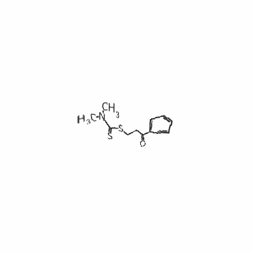 CN(C)C(=S)SCCC(=O)c1ccccc1